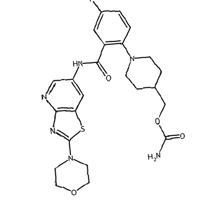 NC(=O)OCC1CCN(c2ccc(F)cc2C(=O)Nc2cnc3nc(N4CCOCC4)sc3c2)CC1